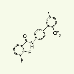 Cc1ccc(C(F)(F)F)c(-c2ccc(NC(=O)c3cccc(F)c3F)cc2)c1